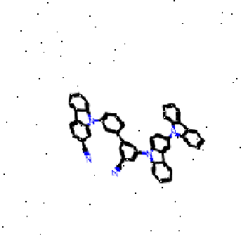 N#Cc1cc(-c2cccc(-n3c4ccccc4c4ccc(C#N)cc43)c2)cc(-n2c3ccccc3c3cc(-n4c5ccccc5c5ccccc54)ccc32)c1